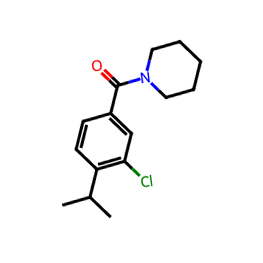 CC(C)c1ccc(C(=O)N2CCCCC2)cc1Cl